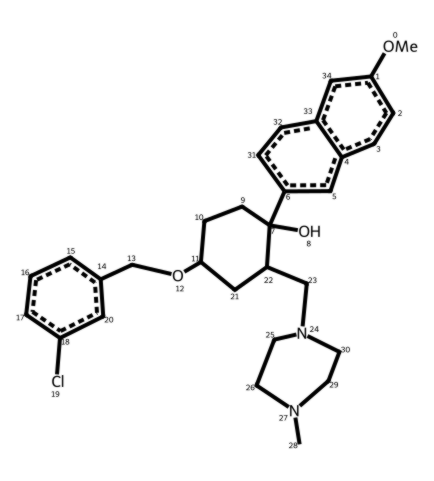 COc1ccc2cc(C3(O)CCC(OCc4cccc(Cl)c4)CC3CN3CCN(C)CC3)ccc2c1